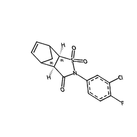 O=C1[C@H]2C3C=CC(C3)[C@H]2S(=O)(=O)N1c1ccc(F)c(Cl)c1